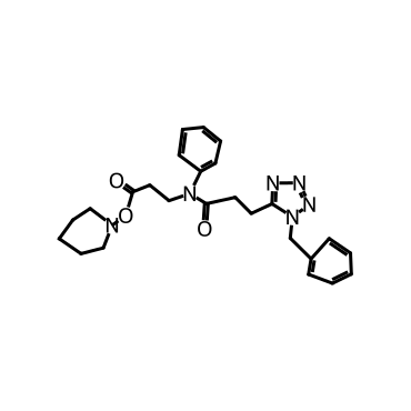 O=C(CCN(C(=O)CCc1nnnn1Cc1ccccc1)c1ccccc1)ON1CCCCC1